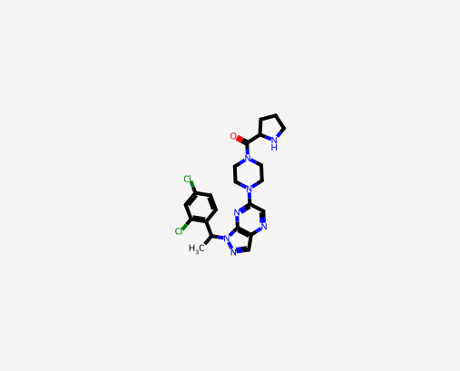 CC(c1ccc(Cl)cc1Cl)n1ncc2ncc(N3CCN(C(=O)C4CCCN4)CC3)nc21